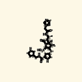 C[C@@H](NC(=O)Cn1cnnn1)[C@H]1C(=O)N2C(C(=O)O)=C(S[C@@H]3CN[C@H](C(=O)NCC4CCNC4)C3)[C@H](C)[C@H]12